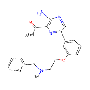 CCN(CCOc1cccc(-c2cnc(N)c(C(=O)NC)n2)c1)Cc1ccccc1